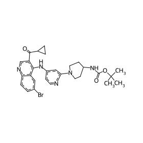 CC(C)(C)OC(=O)NC1CCN(c2cc(Nc3c(C(=O)C4CC4)cnc4ccc(Br)cc34)ccn2)CC1